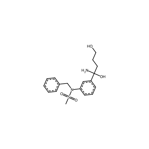 CS(=O)(=O)N(Cc1ccccc1)c1cccc(C(N)(O)CCCO)c1